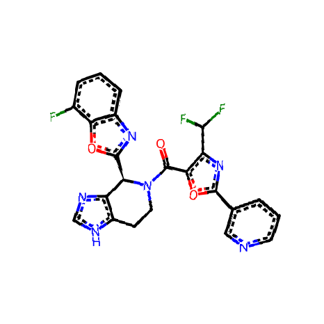 O=C(c1oc(-c2cccnc2)nc1C(F)F)N1CCc2[nH]cnc2[C@H]1c1nc2cccc(F)c2o1